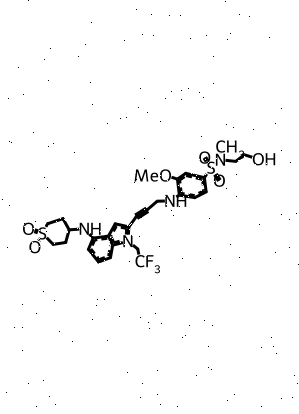 COc1cc(S(=O)(=O)N(C)CCO)ccc1NCC#Cc1cc2c(NC3CCS(=O)(=O)CC3)cccc2n1CC(F)(F)F